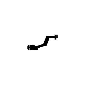 FC=[CH][SnH]